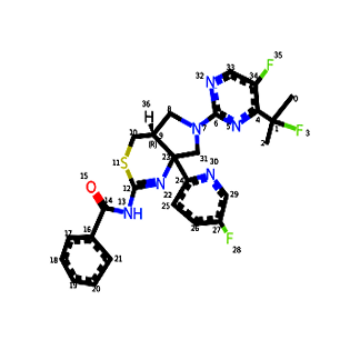 CC(C)(F)c1nc(N2C[C@H]3CSC(NC(=O)c4ccccc4)=NC3(c3ccc(F)cn3)C2)ncc1F